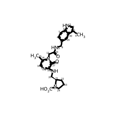 Cc1c[nH]c2ccc(CNC(=O)Cn3c(C)cnc(NC[C@H]4CCCN4C(=O)O)c3=O)cc12